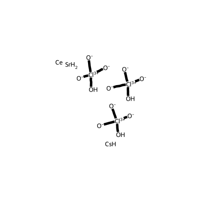 [Ce].[CsH].[O-][Cl+3]([O-])([O-])O.[O-][Cl+3]([O-])([O-])O.[O-][Cl+3]([O-])([O-])O.[SrH2]